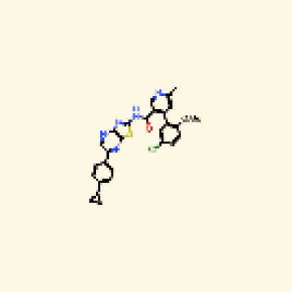 COc1ccc(Cl)cc1-c1cc(C)ncc1C(=O)Nc1nc2ncc(-c3ccc(C4CC4)cc3)nc2s1